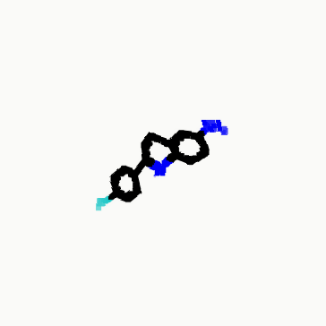 Nc1ccc2nc(-c3ccc(F)cc3)ccc2c1